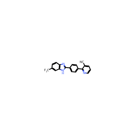 N#Cc1cccnc1-c1ccc(-c2nc3ccc(C(F)(F)F)cc3[nH]2)cc1